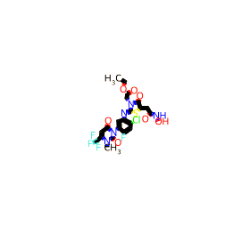 CCOC(=O)CN1C(=O)C(CC(=O)NO)SC1=Nc1cc(-n2c(=O)cc(C(F)(F)F)n(C)c2=O)c(F)cc1Cl